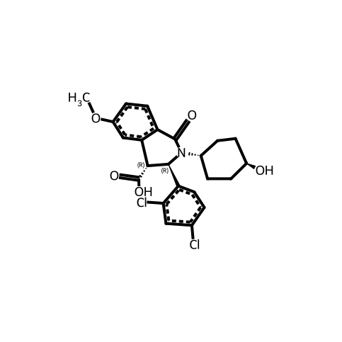 COc1ccc2c(c1)[C@@H](C(=O)O)[C@H](c1ccc(Cl)cc1Cl)N([C@H]1CC[C@H](O)CC1)C2=O